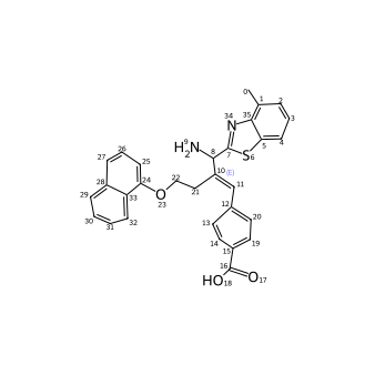 Cc1cccc2sc(C(N)/C(=C/c3ccc(C(=O)O)cc3)CCOc3cccc4ccccc34)nc12